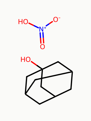 O=[N+]([O-])O.OC12CC3CC(CC(C3)C1)C2